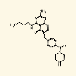 CCCCNc1nc(N)nc2ccn(Cc3ccc(C(=O)N4CCNCC4)cc3)c(=O)c12